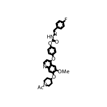 COc1cc2c(Oc3ccc(OC(=O)NN=Cc4ccc(F)cc4)cc3)ccnc2cc1OC1CCN(C(C)=O)CC1